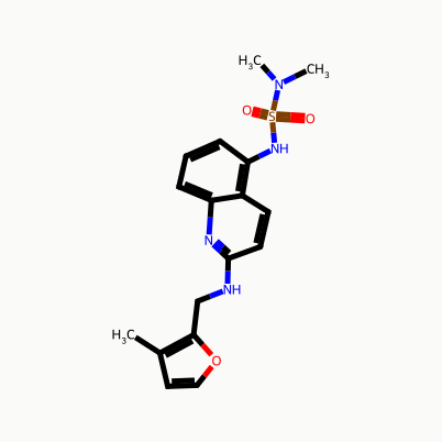 Cc1ccoc1CNc1ccc2c(NS(=O)(=O)N(C)C)cccc2n1